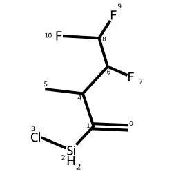 C=C([SiH2]Cl)C(C)C(F)C(F)F